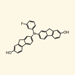 Oc1ccc2c(c1)Cc1cc(N(c3cccc(F)c3)c3ccc4c(c3)Cc3cc(O)ccc3-4)ccc1-2